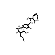 CCCC(CCC)[C@@H](C)NS(=O)(=O)c1ccc(NC(=O)C2=C(C)SCC=C2)c(C)c1